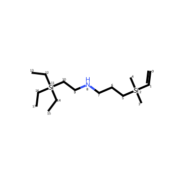 C=C[Si](C)(C)CCCNCC[Si](CC)(CC)CC